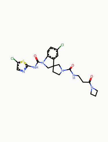 O=C(CCNC(=O)N1CCC2(C1)CN(C(=O)Nc1ncc(Cl)s1)c1ccc(Cl)cc12)N1CCC1